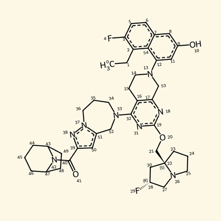 CCc1c(F)ccc2cc(O)cc(N3CCc4c(nc(OC[C@@]56CCCN5C[C@H](F)C6)nc4N4CCCn5nc(C(=O)N6C7CCCC6CC7)cc5C4)C3)c12